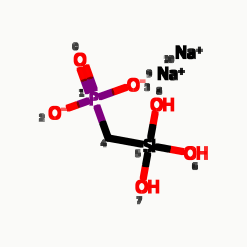 O=P([O-])([O-])C[Si](O)(O)O.[Na+].[Na+]